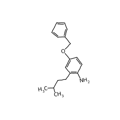 CC(C)CCc1cc(OCc2ccccc2)ccc1N